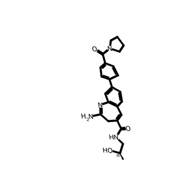 C[C@@H](O)CNC(=O)C1=Cc2ccc(-c3ccc(C(=O)N4CCCC4)cc3)cc2N=C(N)C1